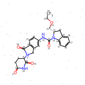 O=C1CCC(N2Cc3cc(NC(=O)N4c5ccccc5C[C@H]4COCC(F)(F)F)ccc3C2=O)C(=O)N1